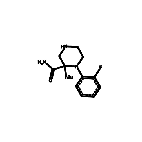 CCCCC1(C(N)=O)CNCCN1c1ccccc1F